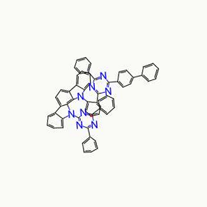 c1ccc(-c2ccc(-c3nc(-c4ccccc4)nc(-c4ccccc4-n4c5ccccc5c5ccc6c7ccccc7n(-c7nc(-c8ccccc8)nc(-c8ccccc8)n7)c6c54)n3)cc2)cc1